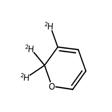 [2H]C1=CC=COC1([2H])[2H]